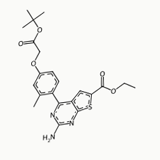 CCOC(=O)c1cc2c(-c3ccc(OCC(=O)OC(C)(C)C)cc3C)nc(N)nc2s1